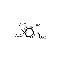 CC(=O)OC[C@H]1OC[C@@](C)(OC(C)=O)[C@@H](OC(C)=O)[C@@H]1OC(C)=O